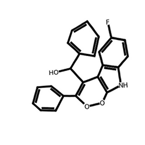 OC(C1=C(c2ccccc2)OOc2[nH]c3ccc(F)cc3c21)c1ccccc1